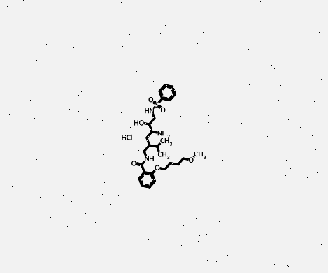 COCCCCOc1ccccc1C(=O)NCC(CC(N)C(O)CNS(=O)(=O)c1ccccc1)C(C)C.Cl